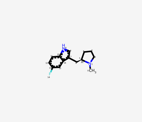 CN1CCC[C@@H]1Cc1c[nH]c2ccc(F)cc12